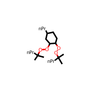 CCCC1CCC(OOC(C)(C)CCC)C(OOC(C)(C)CCC)C1